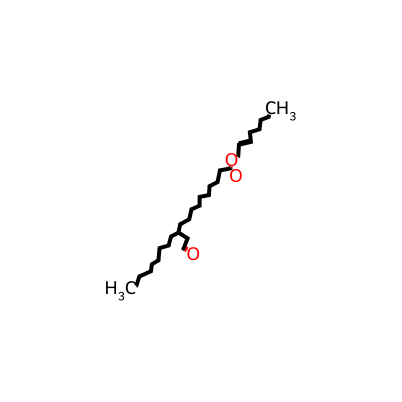 CCCCCC=CCOC(=O)CCCCCCCCCC(CC=O)CCCCCCCCC